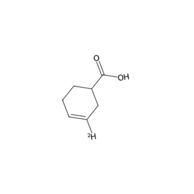 [2H]C1=CCCC(C(=O)O)C1